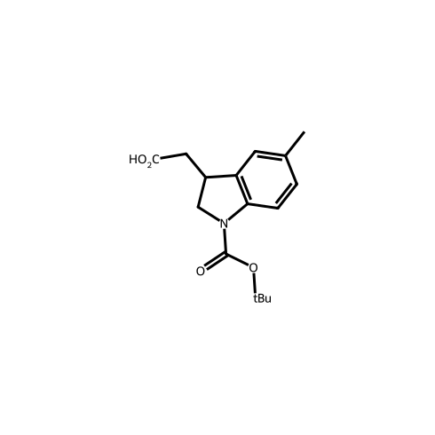 Cc1ccc2c(c1)C(CC(=O)O)CN2C(=O)OC(C)(C)C